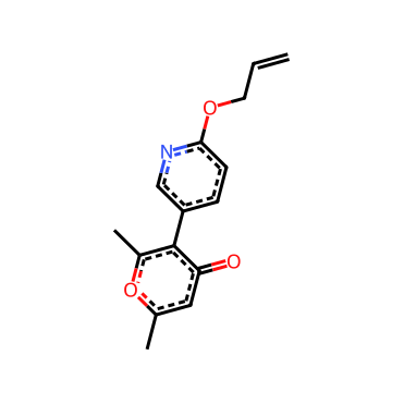 C=CCOc1ccc(-c2c(C)oc(C)cc2=O)cn1